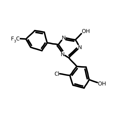 Oc1ccc(Cl)c(-c2nc(O)nc(-c3ccc(C(F)(F)F)cc3)n2)c1